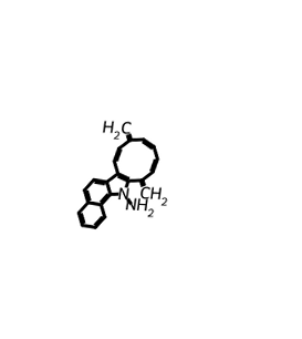 C=c1ccccc(=C)c2c(cc1)c1ccc3ccccc3c1n2N